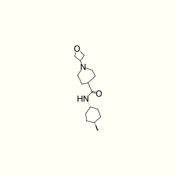 C[C@H]1CC[C@H](NC(=O)C2CCN(C3COC3)CC2)CC1